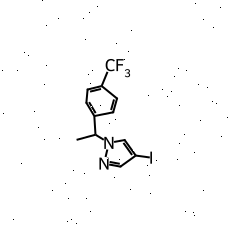 CC(c1ccc(C(F)(F)F)cc1)n1cc(I)cn1